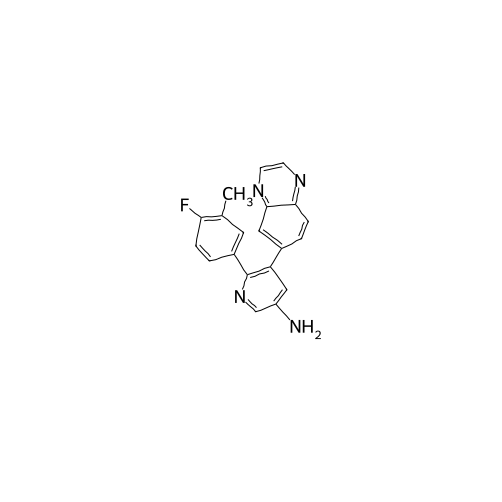 Cc1cc(-c2ncc(N)cc2-c2ccc3nccnc3c2)ccc1F